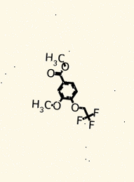 COC(=O)c1ccc(OCC(F)(F)F)c(OC)c1